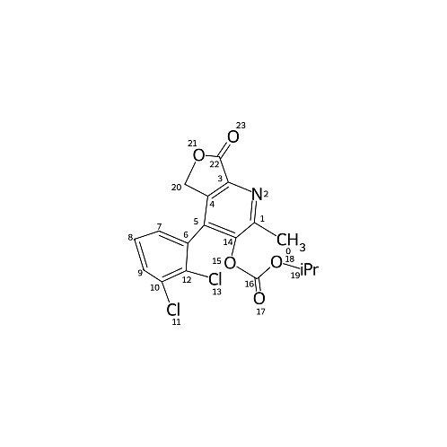 Cc1nc2c(c(-c3cccc(Cl)c3Cl)c1OC(=O)OC(C)C)COC2=O